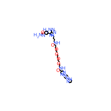 Nc1nc2cc(-c3nn(CCCCNC(=O)CCOCCOCCOCCOCCNC(=O)c4cnc(N5CCN(c6ncccn6)CC5)nc4)c4ncnc(N)c34)ccc2o1